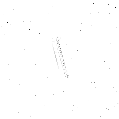 CCCCCCCC/C=C\CCCCCCCC(=O)OCC(O)COCC(O)COCC(O)COCC(O)COCC(O)COCC(O)COCC(O)COCC(O)COCC(O)COCC(O)COC(=O)CCCCCCC/C=C\CCCCCCCC